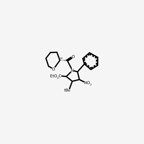 CCOC(=O)C1C(C(C)(C)C)C([N+](=O)[O-])C(c2ccccc2)N1C(=O)[C@H]1CCCCO1